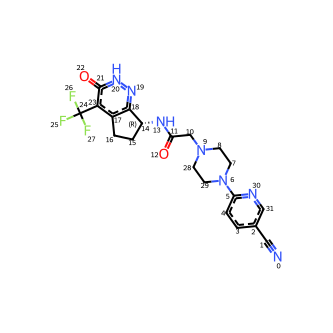 N#Cc1ccc(N2CCN(CC(=O)N[C@@H]3CCc4c3n[nH]c(=O)c4C(F)(F)F)CC2)nc1